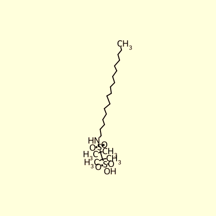 CCCCCCCCCCCCCCCCCCNS(=O)(=O)C(C)(C)C(C)(C)S(=O)(=O)O